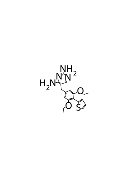 CCOc1cc(Cc2cnc(N)nc2N)cc(OCC)c1-c1cccs1